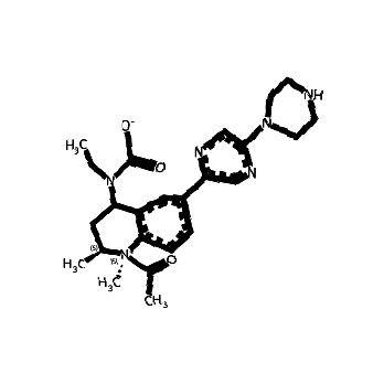 CCN(C(=O)[O-])C1C[C@H](C)[N@+](C)(C(C)=O)c2ccc(-c3cnc(N4CCNCC4)cn3)cc21